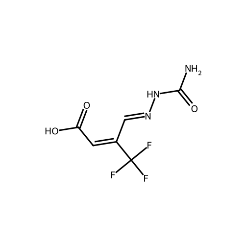 NC(=O)N/N=C/C(=C\C(=O)O)C(F)(F)F